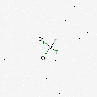 F[B-](F)(F)F.[Cr].[Cu]